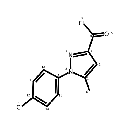 Cc1cc(C(=O)Cl)nn1-c1ccc(Cl)cc1